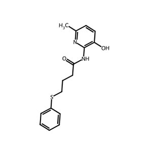 Cc1ccc(O)c(NC(=O)CCCSc2ccccc2)n1